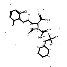 CC1C=CC=C(Cl)C1C[C@H](C)[C@H]1C(=O)N(C(=O)N[C@@H](C2CCCCC2)C(F)(F)F)[C@@H]1C(=O)O